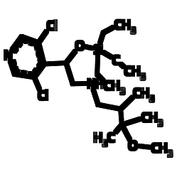 CC[Si](CC)(CC)OC(CNCC(C)C(C)(C)OC)c1c(Cl)cncc1Cl